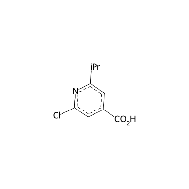 CC(C)c1cc(C(=O)O)cc(Cl)n1